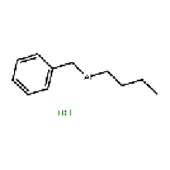 CCC[CH2][Al][CH2]c1ccccc1.Cl